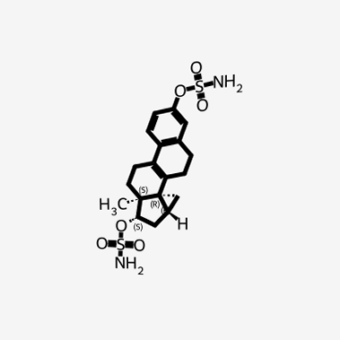 C[C@]12CCC3=C(CCc4cc(OS(N)(=O)=O)ccc43)[C@]13C[C@@H]3C[C@@H]2OS(N)(=O)=O